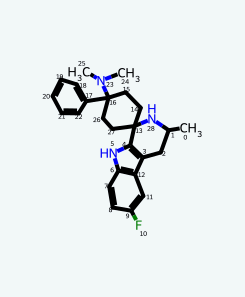 CC1Cc2c([nH]c3ccc(F)cc23)C2(CCC(c3ccccc3)(N(C)C)CC2)N1